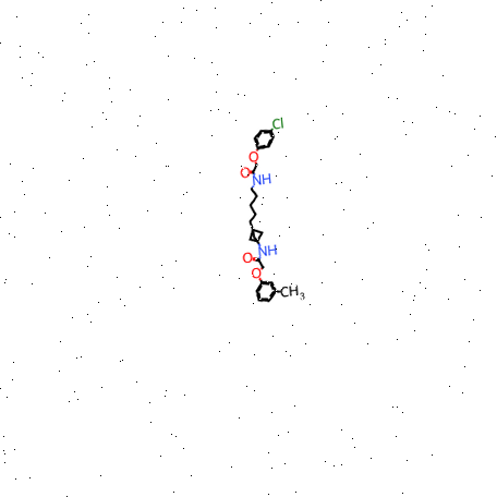 Cc1cccc(OCC(=O)NC23CC(CCCCCNC(=O)COc4ccc(Cl)cc4)(C2)C3)c1